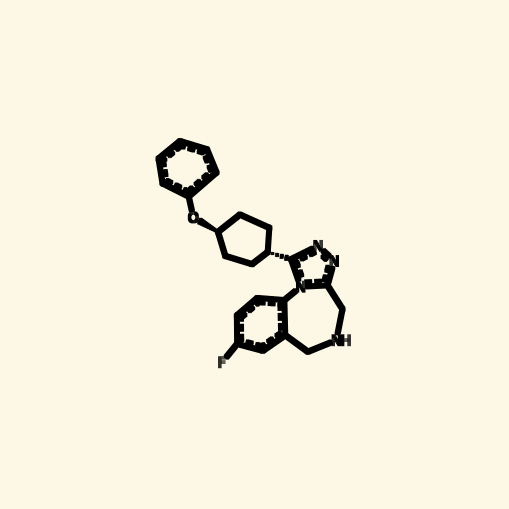 Fc1ccc2c(c1)CNCc1nnc([C@H]3CC[C@H](Oc4ccccc4)CC3)n1-2